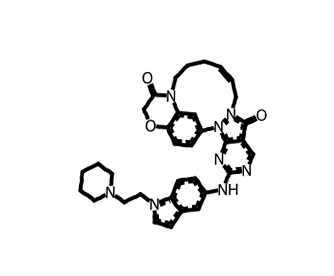 O=C1COc2ccc3cc2N1CCC/C=C\Cn1c(=O)c2cnc(Nc4ccc5c(ccn5CCN5CCCCC5)c4)nc2n1-3